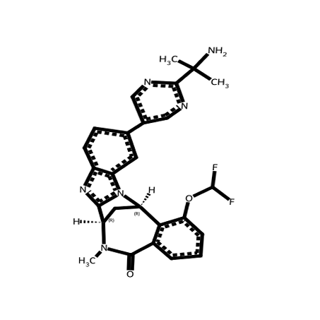 CN1C(=O)c2cccc(OC(F)F)c2[C@H]2C[C@@H]1c1nc3ccc(-c4cnc(C(C)(C)N)nc4)cc3n12